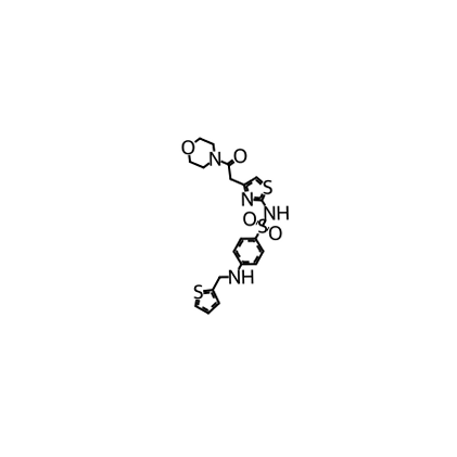 O=C(Cc1csc(NS(=O)(=O)c2ccc(NCc3cccs3)cc2)n1)N1CCOCC1